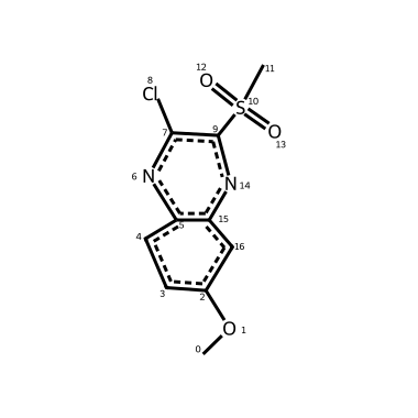 COc1ccc2nc(Cl)c(S(C)(=O)=O)nc2c1